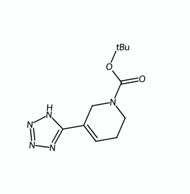 CC(C)(C)OC(=O)N1CCC=C(c2nnn[nH]2)C1